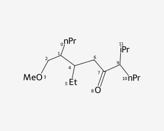 CCCC(COC)C(CC)CC(=O)C(CCC)C(C)C